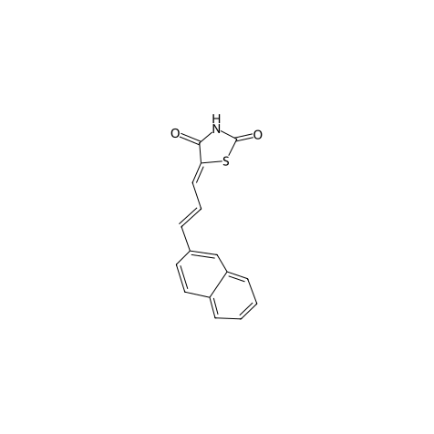 O=C1NC(=O)C(=CC=Cc2ccc3ccccc3c2)S1